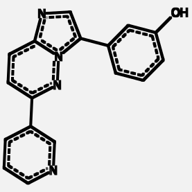 Oc1cccc(-c2cnc3ccc(-c4cccnc4)nn23)c1